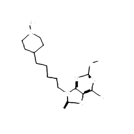 CCCCOc1nc(N)c2[nH]c(=O)n(CCCCCC3CCN(CCC)CC3)c2n1